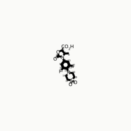 CC1[C@H](C(=O)O)OC(=O)N1c1cc(F)c(N2CCS(=O)(=O)CC2)c(F)c1